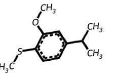 COc1cc([C](C)C)ccc1SC